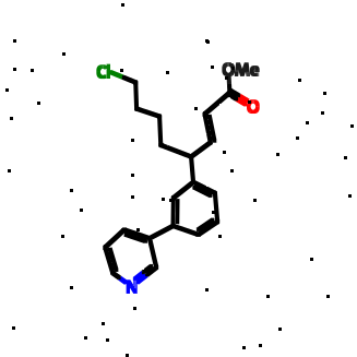 COC(=O)C=CC(CCCCCl)c1cccc(-c2cccnc2)c1